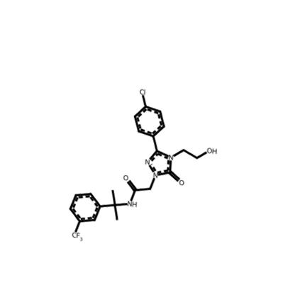 CC(C)(NC(=O)Cn1nc(-c2ccc(Cl)cc2)n(CCO)c1=O)c1cccc(C(F)(F)F)c1